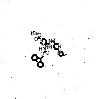 C[C@H](NC(=O)C1(NNC(=O)OCC2c3ccccc3-c3ccccc32)CCN(C(=O)OC(C)(C)C)CC1)c1ccc(-n2cc(F)cn2)nc1